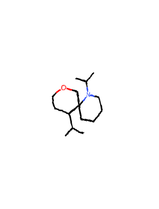 CC(C)C1CCOCC12CCCCN2C(C)C